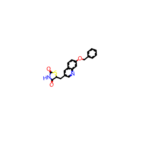 O=C1NC(=O)C(Cc2cnc3cc(OCc4ccccc4)ccc3c2)S1